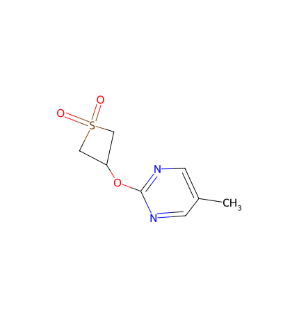 Cc1cnc(OC2CS(=O)(=O)C2)nc1